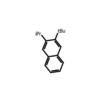 CC(C)c1cc2ccccc2cc1C(C)(C)C